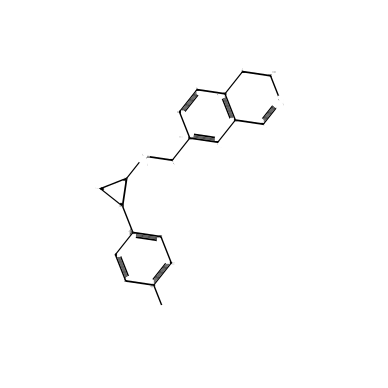 Fc1ccc(C2CC2NCc2ccc3c(c2)C=NCC3)cc1